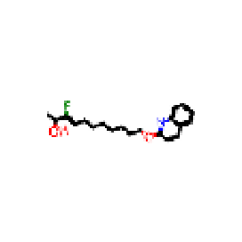 CC(O)C(F)=CCCCCCCCOc1ccc2ccccc2n1